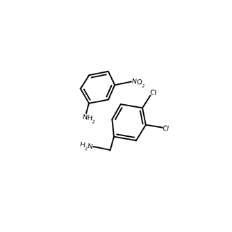 NCc1ccc(Cl)c(Cl)c1.Nc1cccc([N+](=O)[O-])c1